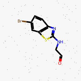 O=CCNc1nc2ccc(Br)cc2s1